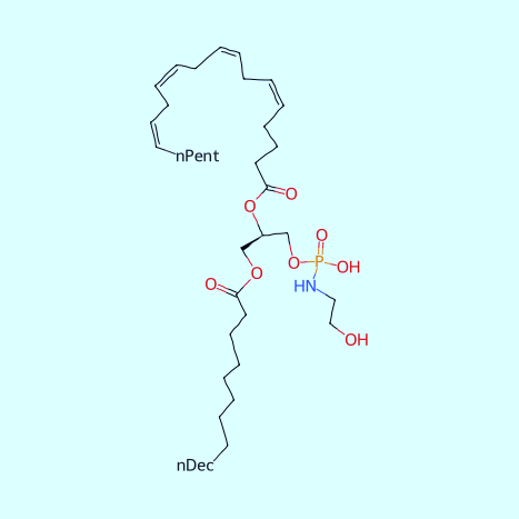 CCCCC/C=C\C/C=C\C/C=C\C/C=C\CCCC(=O)O[C@H](COC(=O)CCCCCCCCCCCCCCCCC)COP(=O)(O)NCCO